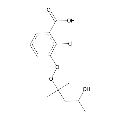 CC(O)CC(C)(C)OOc1cccc(C(=O)O)c1Cl